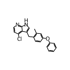 Cc1cc(Oc2ccccc2)ccc1Cc1c[nH]c2nccc(Cl)c12